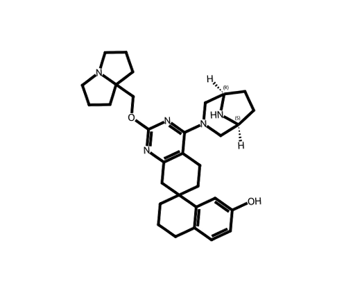 Oc1ccc2c(c1)C1(CCC2)CCc2c(nc(OCC34CCCN3CCC4)nc2N2C[C@H]3CC[C@@H](C2)N3)C1